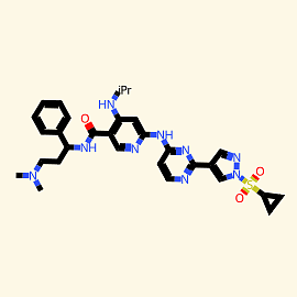 CC(C)Nc1cc(Nc2ccnc(-c3cnn(S(=O)(=O)C4CC4)c3)n2)ncc1C(=O)NC(CCN(C)C)c1ccccc1